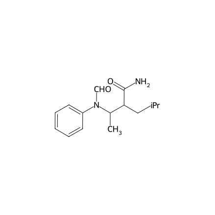 CC(C)CC(C(N)=O)C(C)N(C=O)c1ccccc1